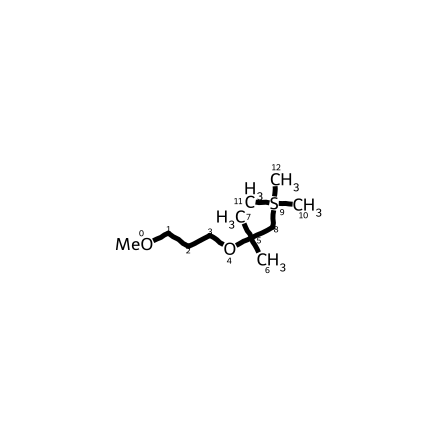 COCCCOC(C)(C)CS(C)(C)C